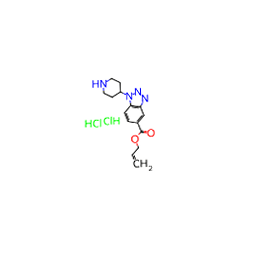 C=CCOC(=O)c1ccc2c(c1)nnn2C1CCNCC1.Cl.Cl